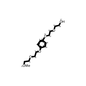 COCCOCCOc1ccc(OCCOCCO)cc1